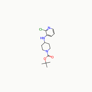 CC(C)(C)OC(=O)N1CCC(Nc2cccnc2Cl)CC1